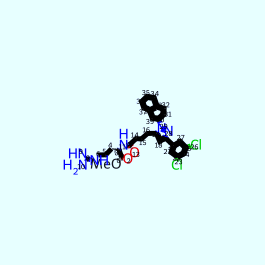 COC(=O)[C@H](CCCNC(=N)N)NC(=O)CCCc1cc(-c2cc(Cl)cc(Cl)c2)nn1-c1ccc2ccccc2c1